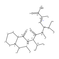 CCC(C)N1CCCCC1C(=O)NC(C(=O)N(C)C(/C=C(\C)C(=O)O)C(C)C)C(C)C